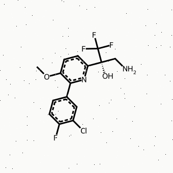 COc1ccc([C@](O)(CN)C(F)(F)F)nc1-c1ccc(F)c(Cl)c1